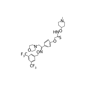 CN1CCC(ONC(=S)COc2ccc(C(CN3CCOCC3)=NOCc3cc(C(F)(F)F)cc(C(F)(F)F)c3)cc2)CC1